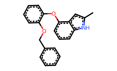 Cc1cc2c(Oc3ccccc3OCc3ccccc3)cccc2[nH]1